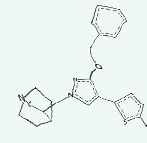 Clc1ccc(-c2cn(C3CN4CCC3CC4)nc2OCc2ccccc2)s1